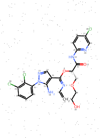 C=C/N=C(/O[C@@H](COCCO)C(=O)Nc1ccc(Cl)cn1)c1cnn(-c2cccc(Cl)c2Cl)c1N